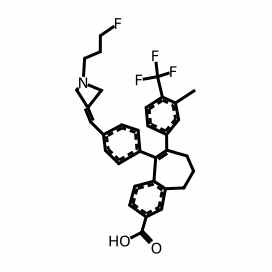 Cc1cc(C2=C(c3ccc(C=C4CN(CCCF)C4)cc3)c3ccc(C(=O)O)cc3CCC2)ccc1C(F)(F)F